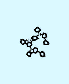 c1ccc(-c2cccc(N(c3ccccc3)c3ccc(-c4cc(-n5c6ccccc6c6cc(-c7ccccc7)ccc65)cc5c4[nH]c4ccccc45)cc3)c2)cc1